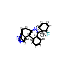 N#CC1(c2nc3c(c4ccccc24)C2=C4CC(=C2N=N4)C3)C=CC=CC1F